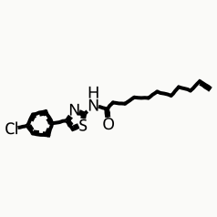 C=CCCCCCCCCC(=O)Nc1nc(-c2ccc(Cl)cc2)cs1